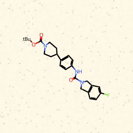 CC(C)(C)OC(=O)N1CCC(c2ccc(NC(=O)N3Cc4ccc(F)cc4C3)cc2)CC1